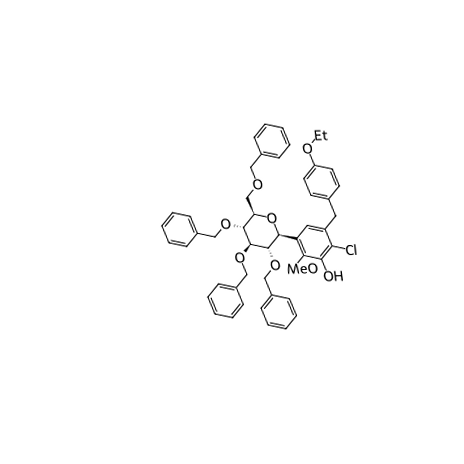 CCOc1ccc(Cc2cc([C@@H]3O[C@H](COCc4ccccc4)[C@@H](OCc4ccccc4)[C@H](OCc4ccccc4)[C@H]3OCc3ccccc3)c(OC)c(O)c2Cl)cc1